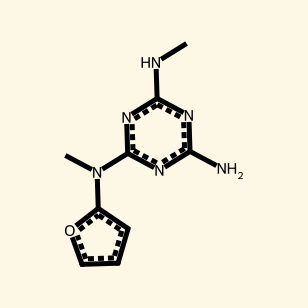 CNc1nc(N)nc(N(C)c2ccco2)n1